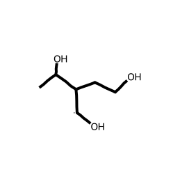 CC(O)C([CH]O)CCO